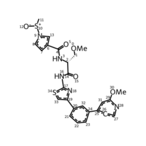 COC[C@@H](NC(=O)c1ccn([S+](C)[O-])c1)C(=O)Nc1nc(-c2cccc(-c3ccnc(OC)c3)c2)cs1